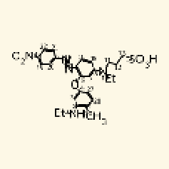 CCNc1cc(Oc2cc(N(CC)CCCS(=O)(=O)O)ccc2/N=N/c2ccc([N+](=O)[O-])cc2)ccc1C